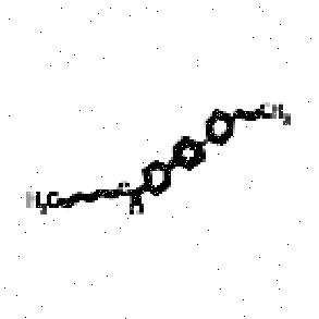 CCCCCCOC(=O)C1=CCC(c2ccc([C@H]3CC[C@H](CCC)CC3)cc2)CC1